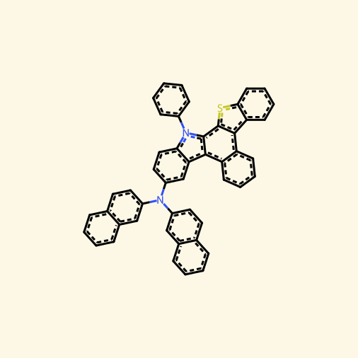 c1ccc(-n2c3ccc(N(c4ccc5ccccc5c4)c4ccc5ccccc5c4)cc3c3c4ccccc4c4c5ccccc5sc4c32)cc1